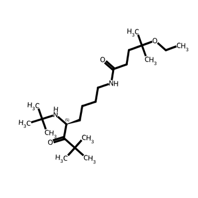 CCOC(C)(C)CCC(=O)NCCCC[C@H](NC(C)(C)C)C(=O)C(C)(C)C